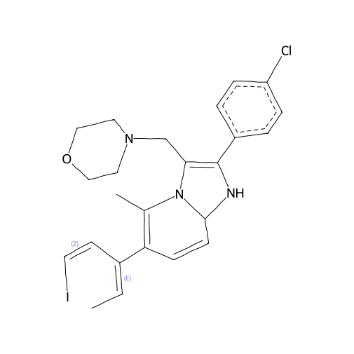 C/C=C(\C=C/I)C1=C(C)N2C(CN3CCOCC3)=C(c3ccc(Cl)cc3)NC2C=C1